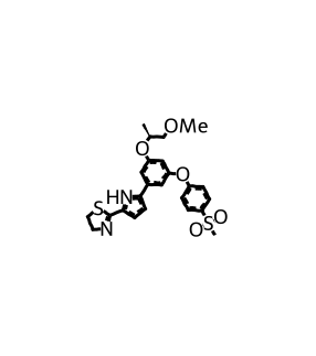 COC[C@H](C)Oc1cc(Oc2ccc(S(C)(=O)=O)cc2)cc(-c2ccc(C3=NCCS3)[nH]2)c1